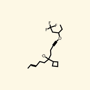 CC=CCCC([O])(CCC#COC(CC)CC(F)(F)F)C1CCC1